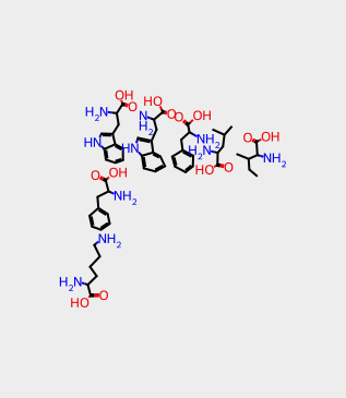 CC(C)CC(N)C(=O)O.CCC(C)C(N)C(=O)O.NC(Cc1c[nH]c2ccccc12)C(=O)O.NC(Cc1c[nH]c2ccccc12)C(=O)O.NC(Cc1ccccc1)C(=O)O.NC(Cc1ccccc1)C(=O)O.NCCCCC(N)C(=O)O